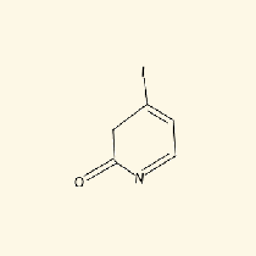 O=C1CC(I)=CC=N1